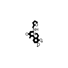 COc1ccc2c(c1OC)CCn1c(NCC3CCCO3)cc(=O)c(C)c1-2